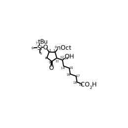 CCCCCCCCC1C(O[Si](C)(C)C(C)(C)C)CC(=O)C1C(O)CCCCCC(=O)O